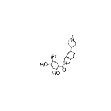 CC(C)c1cc(C(=O)N2Cc3ccc(C4CCN(C)CC4)cc3C2)c(O)cc1O